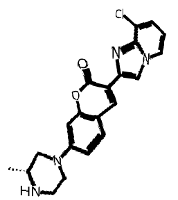 C[C@@H]1CN(c2ccc3cc(-c4cn5cccc(Cl)c5n4)c(=O)oc3c2)CCN1